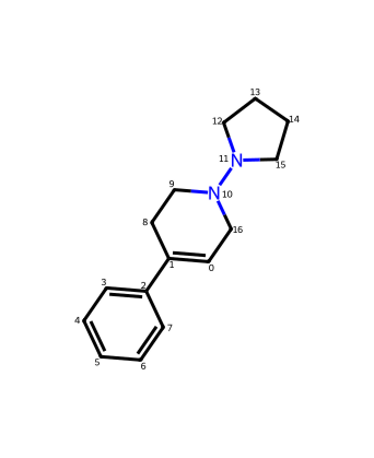 C1=C(c2ccccc2)CCN(N2CCCC2)C1